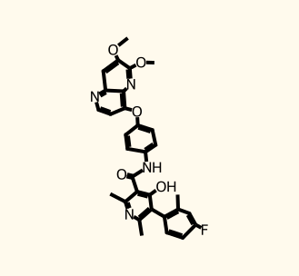 COc1cc2nccc(Oc3ccc(NC(=O)c4c(C)nc(C)c(-c5ccc(F)cc5C)c4O)cc3)c2nc1OC